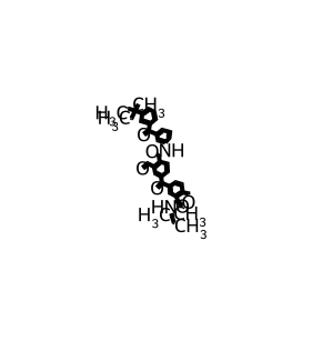 CCC(C)(C)NC(=O)c1cc(C(=O)c2ccc(C(=O)Nc3cccc(C(=O)c4cccc(C(C)(CC)CC)c4)c3)c(C=O)c2)ccc1C=O